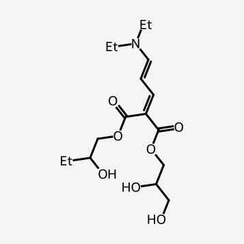 CCC(O)COC(=O)/C(=C\C=C\N(CC)CC)C(=O)OCC(O)CO